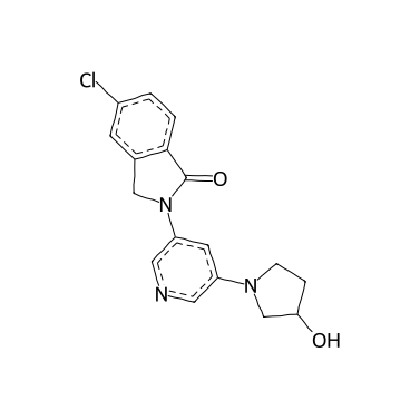 O=C1c2ccc(Cl)cc2CN1c1cncc(N2CCC(O)C2)c1